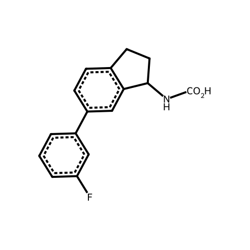 O=C(O)NC1CCc2ccc(-c3cccc(F)c3)cc21